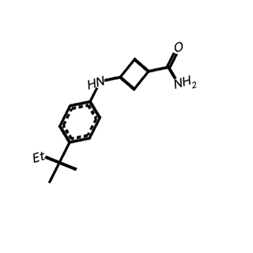 CCC(C)(C)c1ccc(NC2CC(C(N)=O)C2)cc1